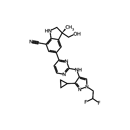 C[C@]1(CO)CNc2c(C#N)cc(-c3ccnc(Nc4cn(CC(F)F)nc4C4CC4)n3)cc21